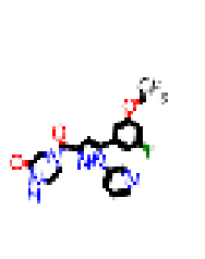 O=C1CN(C(=O)c2cc(-c3cc(F)cc(OCC(F)(F)F)c3)n(-c3cccnc3)n2)CCN1